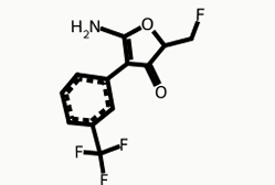 NC1=C(c2cccc(C(F)(F)F)c2)C(=O)C(CF)O1